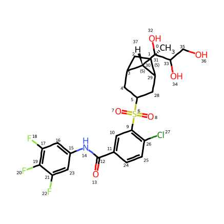 C[C@H]1CC2CC(S(=O)(=O)c3cc(C(=O)Nc4cc(F)c(F)c(F)c4)ccc3Cl)CC1[C@H]2C(O)C(O)CO